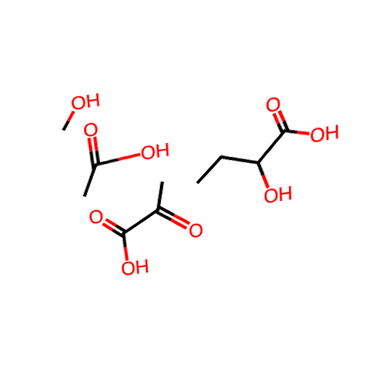 CC(=O)C(=O)O.CC(=O)O.CCC(O)C(=O)O.CO